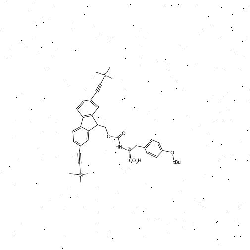 CC(C)(C)Oc1ccc(C[C@H](NC(=O)OCC2c3cc(C#C[Si](C)(C)C)ccc3-c3ccc(C#C[Si](C)(C)C)cc32)C(=O)O)cc1